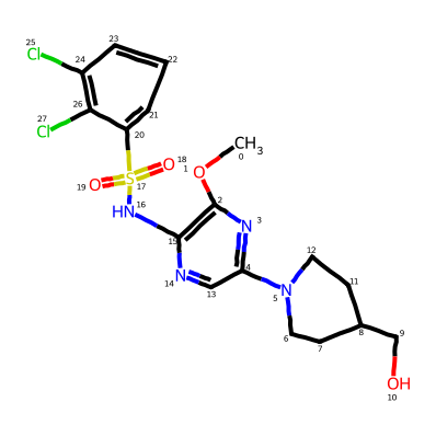 COc1nc(N2CCC(CO)CC2)cnc1NS(=O)(=O)c1cccc(Cl)c1Cl